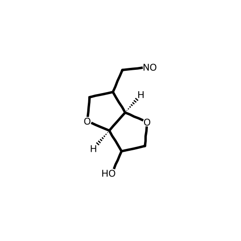 O=NCC1CO[C@@H]2C(O)CO[C@H]12